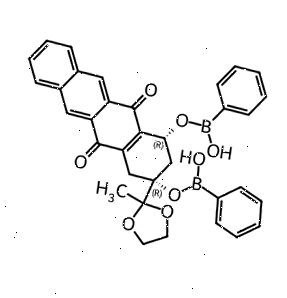 CC1([C@@]2(OB(O)c3ccccc3)CC3=C(C(=O)c4cc5ccccc5cc4C3=O)[C@H](OB(O)c3ccccc3)C2)OCCO1